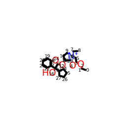 CCOC(=O)C[N@+]1(CC)CC[C@@H](OC(=O)C(O)(c2ccccc2)C2CCCC2)C1